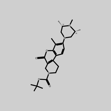 Cc1c(N2C[C@@H](C)N(C)[C@@H](C)C2)ccc2c3c(c(=O)oc12)CN(C(=O)OC(C)(C)C)CC3